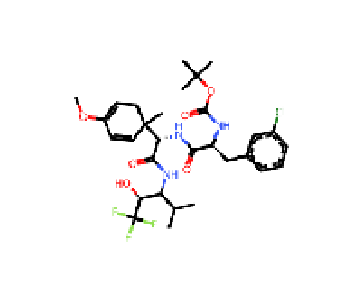 COC1=CCC(C)([C@H](NC(=O)[C@H](Cc2cccc(Cl)c2)NC(=O)OC(C)(C)C)C(=O)N[C@@H](C(C)C)[C@H](O)C(F)(F)F)C=C1